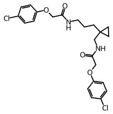 O=C(COc1ccc(Cl)cc1)NCCCC1(CNC(=O)COc2ccc(Cl)cc2)CC1